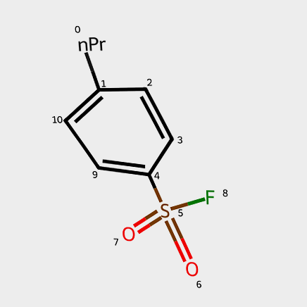 CCCc1ccc(S(=O)(=O)F)cc1